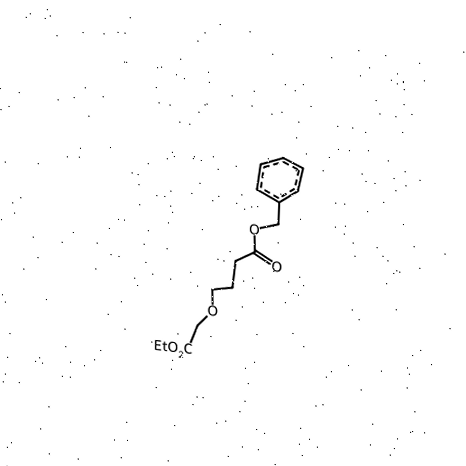 CCOC(=O)COCCCC(=O)OCc1ccccc1